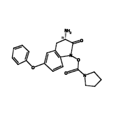 N[C@H]1Cc2cc(Oc3ccccc3)ccc2N(OC(=O)N2CCCC2)C1=O